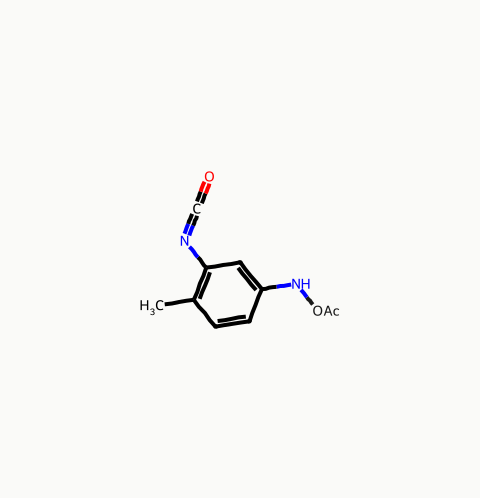 CC(=O)ONc1ccc(C)c(N=C=O)c1